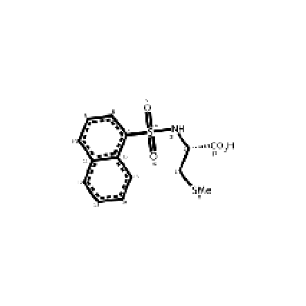 CSC[C@H](NS(=O)(=O)c1cccc2ccccc12)C(=O)O